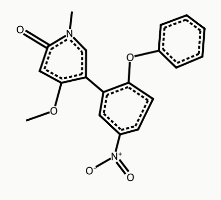 COc1cc(=O)n(C)cc1-c1cc([N+](=O)[O-])ccc1Oc1ccccc1